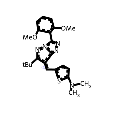 COc1cccc(OC)c1-c1nnc2/c(=C\c3ccc(N(C)C)s3)c(C(C)(C)C)nn12